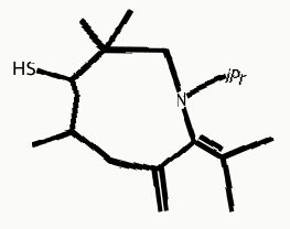 C=C1CC(C)C(S)C(C)(C)CN(C(C)C)C1=C(C)C